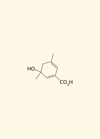 CC1=CC(C(=O)O)=CC(C)(O)C1